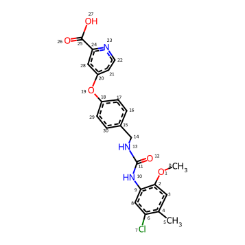 COc1cc(C)c(Cl)cc1NC(=O)NCc1ccc(Oc2ccnc(C(=O)O)c2)cc1